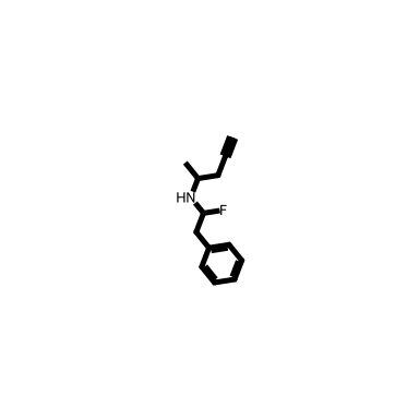 C#CCC(C)NC(F)Cc1ccccc1